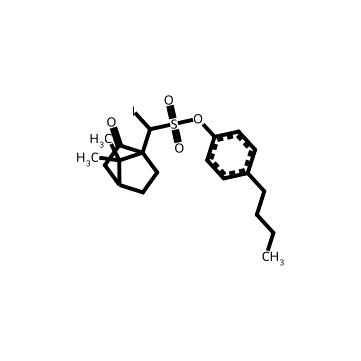 CCCCc1ccc(OS(=O)(=O)C(I)C23CCC(CC2=O)C3(C)C)cc1